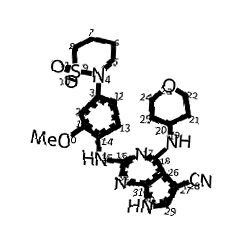 COc1cc(N2CCCCS2(=O)=O)ccc1Nc1nc(NC2CCOCC2)c2c(C#N)c[nH]c2n1